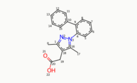 Cc1nn(-c2ccccc2-c2ccccc2)c(C)c1CC(=O)O